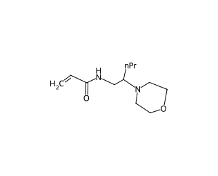 C=CC(=O)NCC(CCC)N1CCOCC1